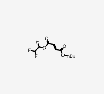 CCCCOC(=O)C=CC(=O)OC(F)C(F)F